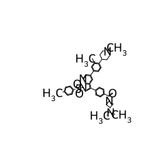 Cc1ccc(S(=O)(=O)n2cc(-c3ccc(C(=O)N4CC(N(C)C)C4)cc3)c3cc(-c4ccc(C5CCN(C)CC5)c(C)c4)cnc32)cc1